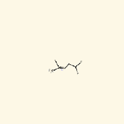 C/C(=C\CC(F)F)C(F)(F)F